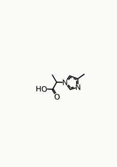 Cc1cn(C(C)C(=O)O)cn1